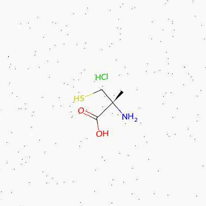 C[C@](N)(CS)C(=O)O.Cl